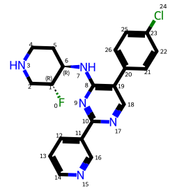 F[C@@H]1CNCC[C@H]1Nc1nc(-c2cccnc2)ncc1-c1ccc(Cl)cc1